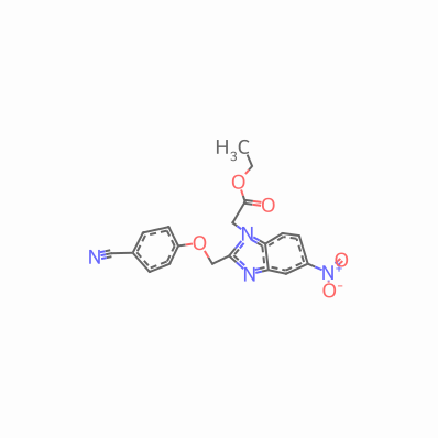 CCOC(=O)Cn1c(COc2ccc(C#N)cc2)nc2cc([N+](=O)[O-])ccc21